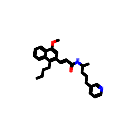 CCCCc1c(/C=C/C(=O)NC(C)CCCc2cccnc2)cc(OC)c2ccccc12